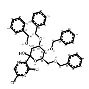 OC1(c2ncc(Cl)nc2Cl)O[C@H](COCc2ccccc2)[C@@H](OCc2ccccc2)[C@H](OCc2ccccc2)[C@H]1OCc1ccccc1